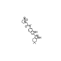 CN(C(=O)CN1CCCS1(=O)=O)c1ccc2cc(-c3n[nH]c4c3CCC(C)(C)C4)[nH]c2c1